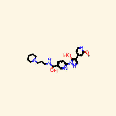 COc1cc(-c2cnn(-c3ccc(C(O)NCCCN4CCCCC4)cn3)c2O)ccn1